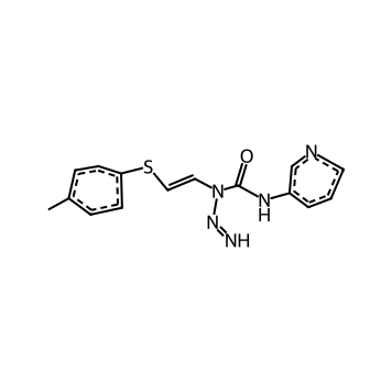 Cc1ccc(S/C=C/N(N=N)C(=O)Nc2cccnc2)cc1